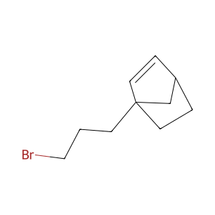 BrCCCC12C=CC(CC1)C2